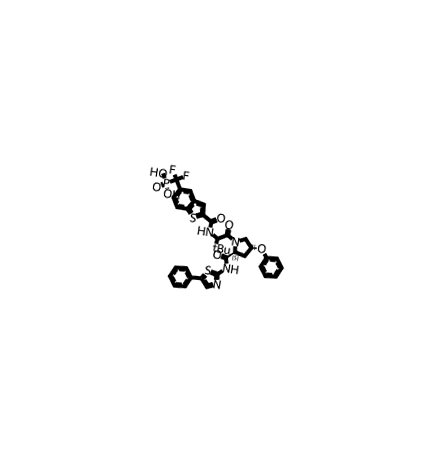 CC(C)(C)C(NC(=O)c1cc2cc(C(F)(F)P(=O)(O)O)ccc2s1)C(=O)N1C[C@H](Oc2ccccc2)C[C@H]1C(=O)Nc1ncc(-c2ccccc2)s1